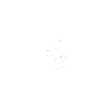 Cc1cc(Cl)cc(C(=O)NC(C)(C#N)C2CC2)c1NC(=O)c1cc(Cl)nn1-c1ncccc1Cl